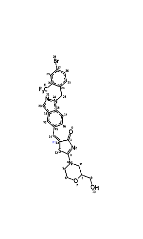 O=C1N=C(N2CCOC(CO)C2)S/C1=C/c1ccc2c(cnn2Cc2ccc(Br)cc2C(F)(F)F)c1